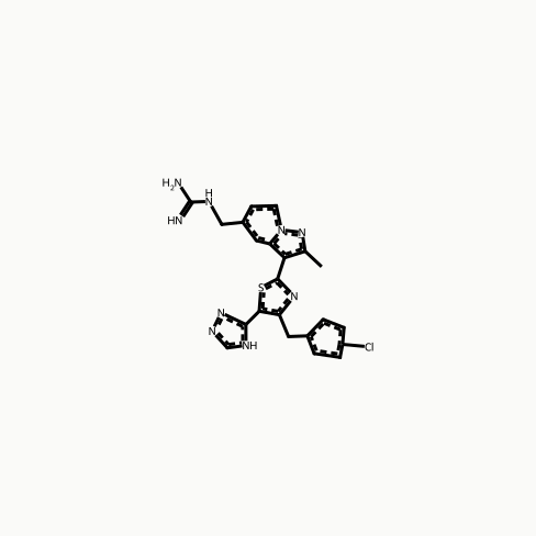 Cc1nn2ccc(CNC(=N)N)cc2c1-c1nc(Cc2ccc(Cl)cc2)c(-c2nnc[nH]2)s1